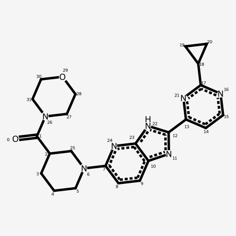 O=C(C1CCCN(c2ccc3nc(-c4ccnc(C5CC5)n4)[nH]c3n2)C1)N1CCOCC1